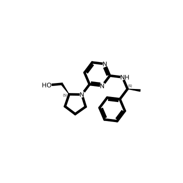 C[C@H](Nc1nccc(N2CCC[C@H]2CO)n1)c1ccccc1